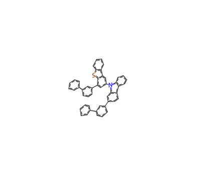 c1ccc(-c2cccc(-c3ccc4c5ccccc5n(-c5cc(-c6cccc(-c7ccccc7)c6)c6sc7ccccc7c6c5)c4c3)c2)cc1